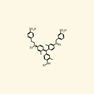 CCNc1ccc(/C(=C2C=C/C(=[N+](/CC)CCc3ccc(S(=O)(=O)O)cc3)C=C/2C)c2ccc(N(CC)Cc3cccc(S(=O)(=O)O)c3)cc2C)cc1C